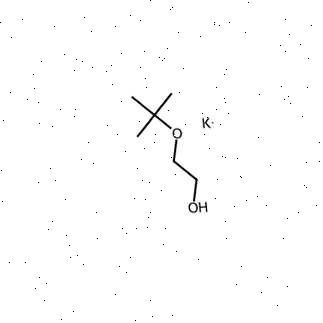 CC(C)(C)OCCO.[K]